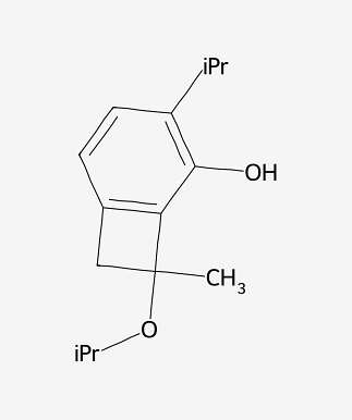 CC(C)OC1(C)Cc2ccc(C(C)C)c(O)c21